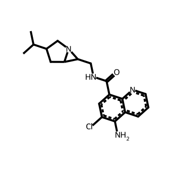 CC(C)C1CC2C(CNC(=O)c3cc(Cl)c(N)c4cccnc34)N2C1